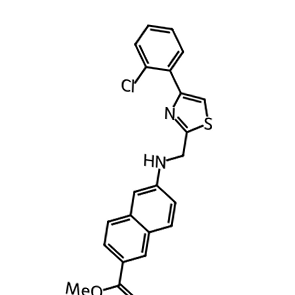 COC(=O)c1ccc2cc(NCc3nc(-c4ccccc4Cl)cs3)ccc2c1